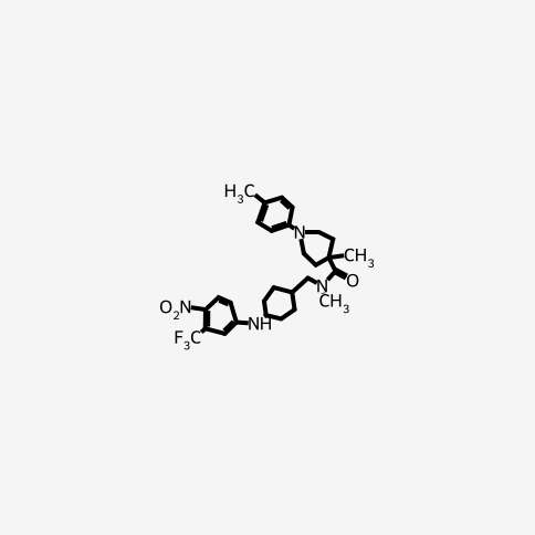 Cc1ccc(N2CCC(C)(C(=O)N(C)CC3CCC(Nc4ccc([N+](=O)[O-])c(C(F)(F)F)c4)CC3)CC2)cc1